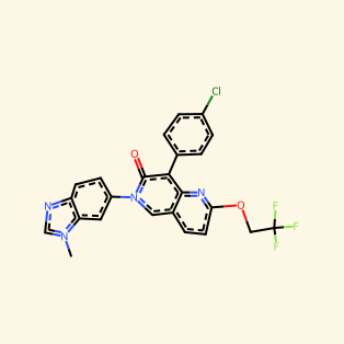 Cn1cnc2ccc(-n3cc4ccc(OCC(F)(F)F)nc4c(-c4ccc(Cl)cc4)c3=O)cc21